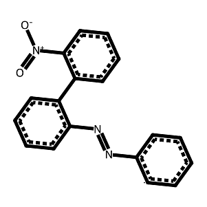 O=[N+]([O-])c1ccccc1-c1ccccc1/N=N/c1[c]cccc1